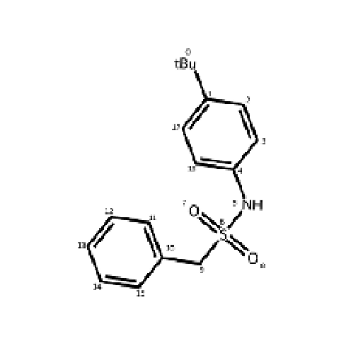 CC(C)(C)c1ccc(NS(=O)(=O)Cc2ccccc2)cc1